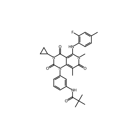 Cc1ccc(Nc2c3c(=O)n(C4CC4)c(=O)n(-c4cccc(NC(=O)C(C)(C)C)c4)c3c(C)c(=O)n2C)c(F)c1